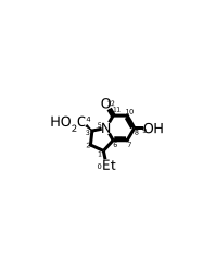 CCC1C[C@@H](C(=O)O)n2c1cc(O)cc2=O